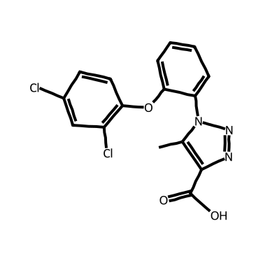 Cc1c(C(=O)O)nnn1-c1ccccc1Oc1ccc(Cl)cc1Cl